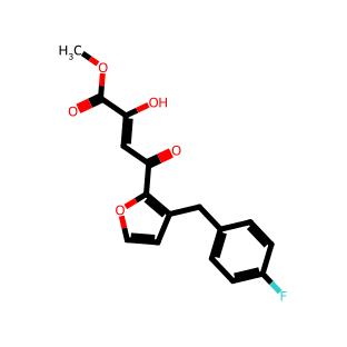 COC(=O)C(O)=CC(=O)c1occc1Cc1ccc(F)cc1